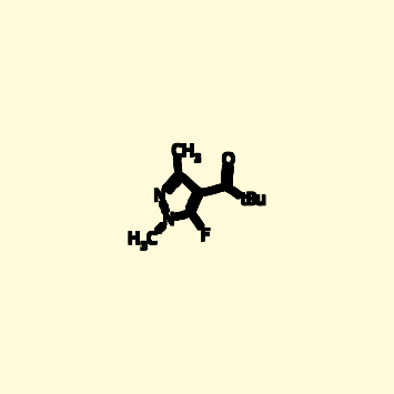 Cc1nn(C)c(F)c1C(=O)C(C)(C)C